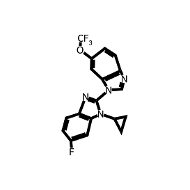 Fc1ccc2nc(-n3cnc4ccc(OC(F)(F)F)cc43)n(C3CC3)c2c1